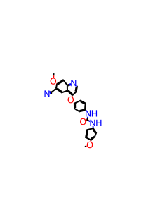 COc1ccc(NC(=O)Nc2ccc(Oc3ccnc4cc(OC)c(C#N)cc34)cc2)cc1